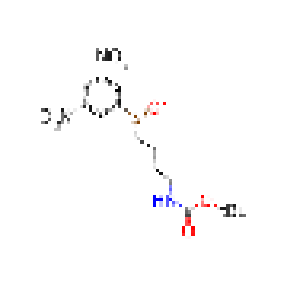 CC(C)(C)OC(=O)NCCCC[S+]([O-])c1cc([N+](=O)[O-])cc([N+](=O)[O-])c1